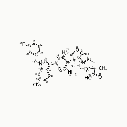 CC(C)(Cc1coc(C2(C)C(=O)Nc3nc(-c4nn(Cc5cccc(F)c5)c5cc(Cl)ccc45)nc(N)c32)n1)C(=O)O